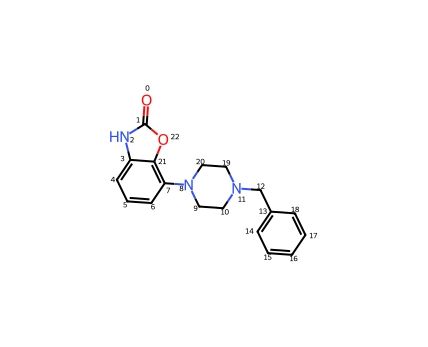 O=c1[nH]c2cccc(N3CCN(Cc4ccccc4)CC3)c2o1